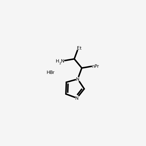 Br.CCCC(C(N)CC)n1ccnc1